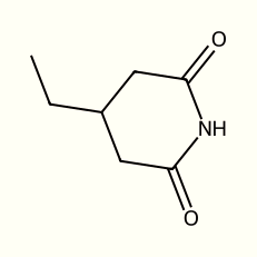 CCC1CC(=O)NC(=O)C1